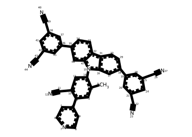 Cc1cc(-c2ccncc2)c(C#N)cc1-n1c2cc(-c3cc(C#N)cc(C#N)c3)ccc2c2ccc(-c3cc(C#N)cc(C#N)c3)cc21